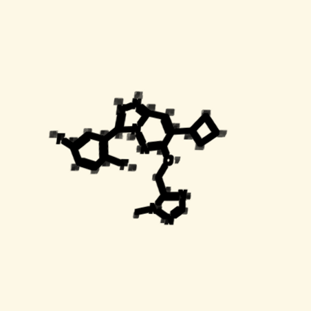 Cn1ncnc1COc1nn2c(-c3cc(F)ccc3F)nnc2cc1C1CCC1